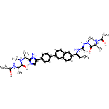 C/C=C(\N/C(CC)=N/N(C)C(=O)[C@@H](NC(=O)OC)C(C)C)c1ccc2cc(-c3ccc(-c4cnc([C@H](C)N(C)C(=O)[C@@H](NC(=O)OC)C(C)C)[nH]4)cc3)ccc2c1